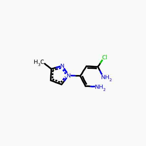 Cc1ccn(C(/C=C(\N)Cl)=C/N)n1